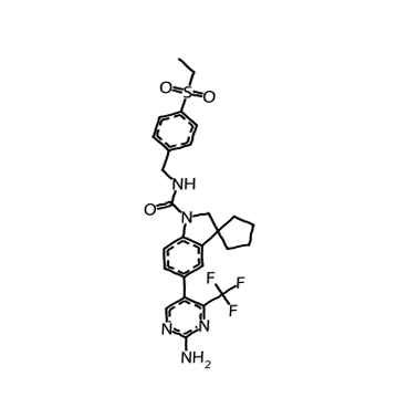 CCS(=O)(=O)c1ccc(CNC(=O)N2CC3(CCCC3)c3cc(-c4cnc(N)nc4C(F)(F)F)ccc32)cc1